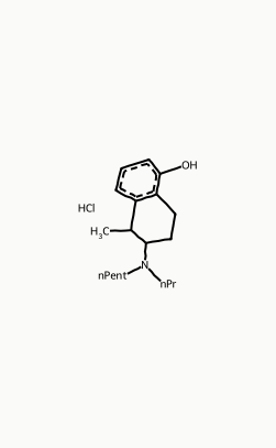 CCCCCN(CCC)C1CCc2c(O)cccc2C1C.Cl